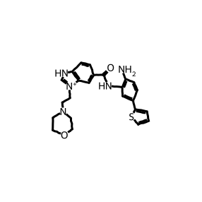 Nc1ccc(-c2cccs2)cc1NC(=O)c1ccc2[nH]c[n+](CCN3CCOCC3)c2c1